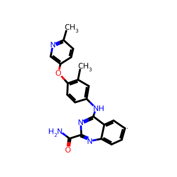 Cc1ccc(Oc2ccc(Nc3nc(C(N)=O)nc4cc[c]cc34)cc2C)cn1